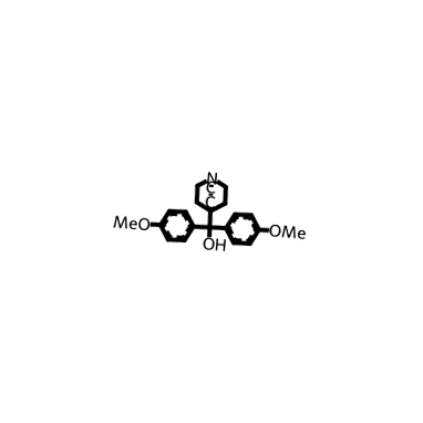 COc1ccc(C(O)(c2ccc(OC)cc2)C23CCN(CC2)CC3)cc1